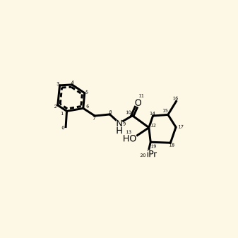 Cc1ccccc1CCNC(=O)C1(O)CC(C)CCC1C(C)C